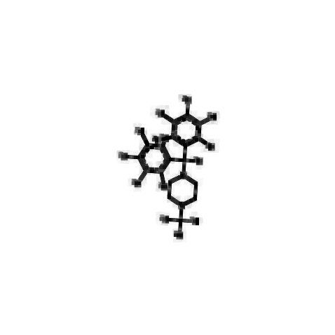 [2H]c1c([2H])c([2H])c(C([2H])(c2c([2H])c([2H])c([2H])c([2H])c2[2H])N2CCN(C([2H])([2H])[2H])CC2)c([2H])c1[2H]